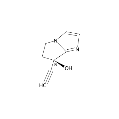 C#C[C@]1(O)CCn2ccnc21